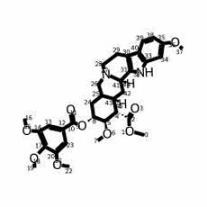 COC(=O)[C@@H]1[C@@H](OC)[C@H](OC(=O)c2cc(OC)c(OC)c(OC)c2)CC2CN3CCc4c([nH]c5cc(OC)ccc45)[C@@H]3C[C@@H]21